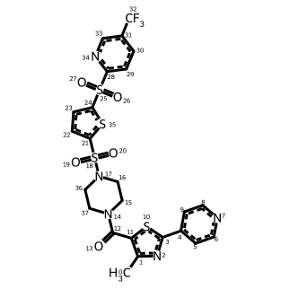 Cc1nc(-c2ccncc2)sc1C(=O)N1CCN(S(=O)(=O)c2ccc(S(=O)(=O)c3ccc(C(F)(F)F)cn3)s2)CC1